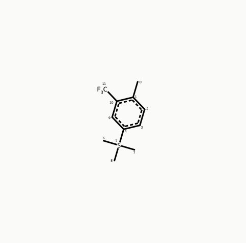 Cc1ccc(S(C)(C)C)cc1C(F)(F)F